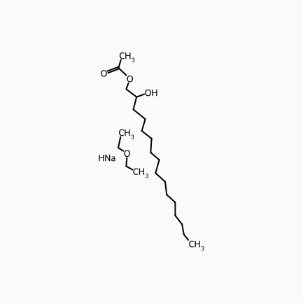 CCCCCCCCCCCCCCC(O)COC(C)=O.CCOCC.[NaH]